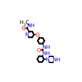 CNC(=O)c1cc(Oc2ccc(NC(=O)Nc3ccccc3N3CCNCC3)cc2)ccn1